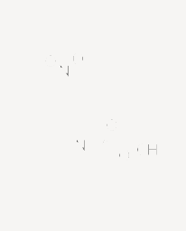 COC(=O)[C@@H]1CCCN1c1ccc([N+](=O)[O-])c2ccccc12